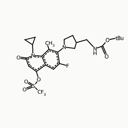 Cc1c(N2CCC(CNC(=O)OC(C)(C)C)C2)c(F)cc2c(OS(=O)(=O)C(F)(F)F)cc(=O)n(C3CC3)c12